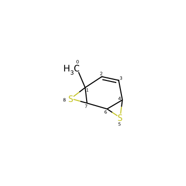 CC12C=CC3SC3C1S2